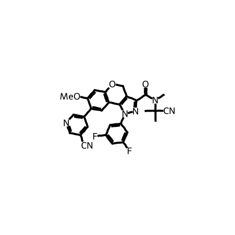 COc1cc2c(cc1-c1cncc(C#N)c1)-c1c(c(C(=O)N(C)C(C)(C)C#N)nn1-c1cc(F)cc(F)c1)CO2